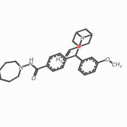 C=CCN1C2CC1CN(C(c1ccc(C(=O)NN3CCCCCC3)cc1)c1cccc(OC)c1)C2